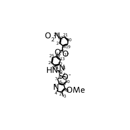 COc1c(C)cnc(C[S+]([O-])c2nc3cc(OC(=O)c4cccc([N+](=O)[O-])c4)ccc3[nH]2)c1C